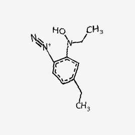 CCc1ccc([N+]#N)c(N(O)CC)c1